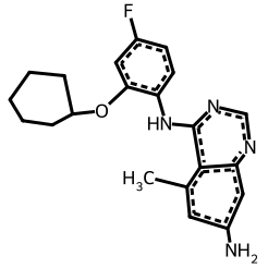 Cc1cc(N)cc2ncnc(Nc3ccc(F)cc3OC3CCCCC3)c12